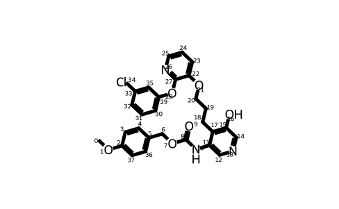 COc1ccc(COC(=O)Nc2cncc(O)c2CCCOc2cccnc2Oc2cccc(Cl)c2)cc1